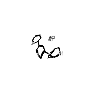 C1=CCC(c2cncc(N3CC4CC3CN4)c2)NC1.Cl.Cl